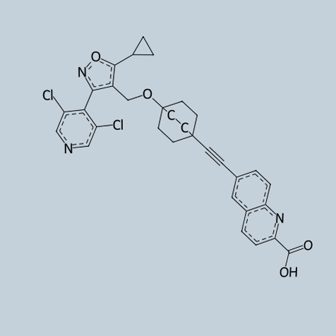 O=C(O)c1ccc2cc(C#CC34CCC(OCc5c(-c6c(Cl)cncc6Cl)noc5C5CC5)(CC3)CC4)ccc2n1